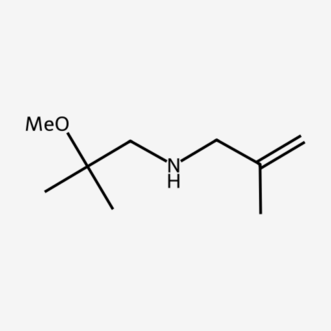 C=C(C)CNCC(C)(C)OC